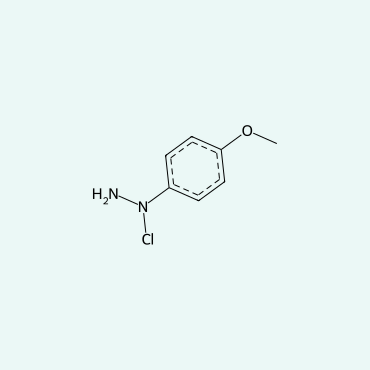 COc1ccc(N(N)Cl)cc1